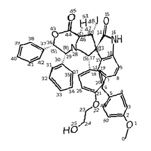 COc1ccc(Cc2ccc3c(c2)[C@]2(C(=O)N3)[C@H](c3ccc(OCCO)cc3)N3[C@H](c4ccccc4)[C@H](c4ccccc4)OC(=O)[C@H]3[C@@H]2I)cc1